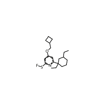 CCC1CCCC(CC)(c2cc(OCC3CCC3)cc(SF)n2)C1